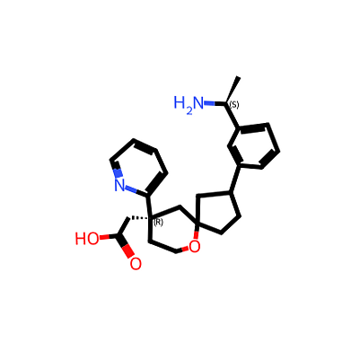 C[C@H](N)c1cccc(C2CCC3(C2)C[C@](CC(=O)O)(c2ccccn2)CCO3)c1